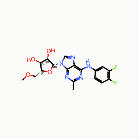 COC[C@H]1O[C@@H](n2cnc3c(Nc4ccc(F)c(F)c4)nc(C)nc32)[C@H](O)[C@@H]1O